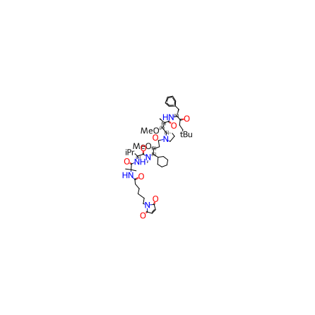 CO[C@H]([C@@H](C)C(=O)N[C@@H](Cc1ccccc1)C(=O)CCC(C)(C)C)[C@@H]1CCCN1C(=O)C[C@@H](OC)[C@H](C1CCCCC1)N(C)C(=O)[C@@H](NC(=O)C(C)(C)NC(=O)CCCCCN1C(=O)C=CC1=O)C(C)C